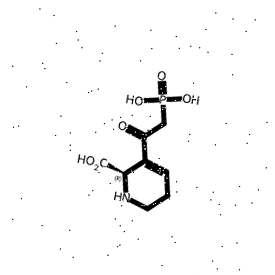 O=C(CP(=O)(O)O)C1=CCCN[C@H]1C(=O)O